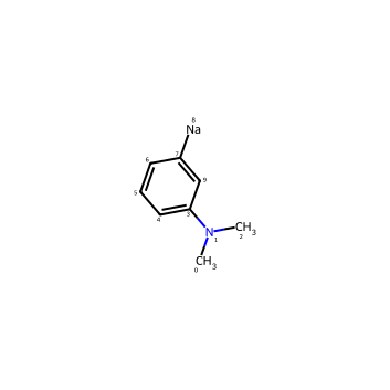 CN(C)c1ccc[c]([Na])c1